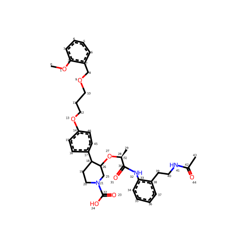 COc1ccccc1COCCCOc1ccc(C2CCN(C(=O)O)CC2O[C@@H](C)C(=O)Nc2ccccc2CCNC(C)=O)cc1